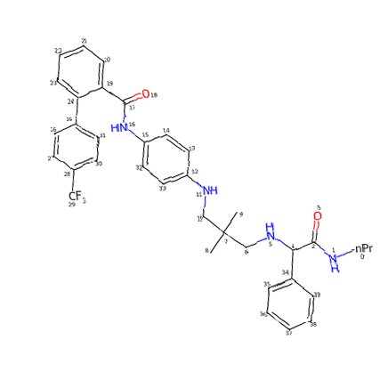 CCCNC(=O)C(NCC(C)(C)CNc1ccc(NC(=O)c2ccccc2-c2ccc(C(F)(F)F)cc2)cc1)c1ccccc1